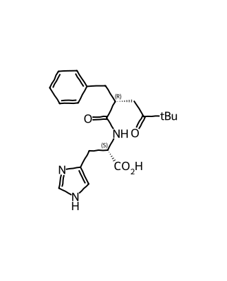 CC(C)(C)C(=O)C[C@@H](Cc1ccccc1)C(=O)N[C@@H](Cc1c[nH]cn1)C(=O)O